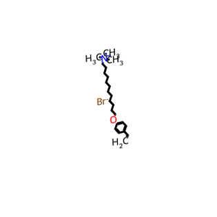 C=Cc1ccc(OCCCCCCCCCCCC[N+](C)(C)C)cc1.[Br-]